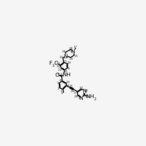 Cc1ccc(C(=O)Nc2ccc(CN3CCN(C)CC3)c(C(F)(F)F)c2)cc1C#Cc1cnc(N)nc1